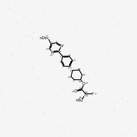 CCCCCCCCCCc1cnc(-c2ccc([C@H]3CC[C@H](OC(=O)[C@@H](F)CCCC)CC3)cc2)nc1